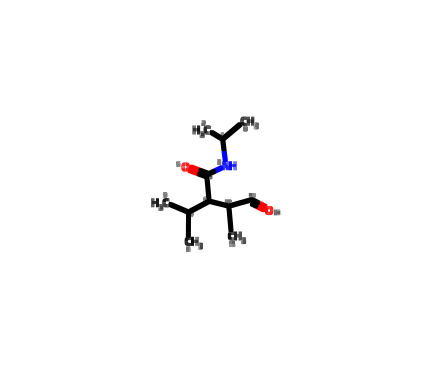 CC(C)NC(=O)C(C(C)C)C(C)C=O